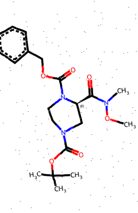 CON(C)C(=O)[C@H]1CN(C(=O)OC(C)(C)C)CCN1C(=O)OCc1ccccc1